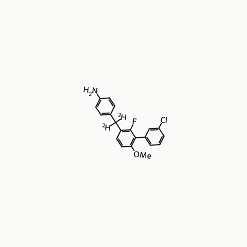 [2H]C([2H])(c1ccc(N)cc1)c1ccc(OC)c(-c2cccc(Cl)c2)c1F